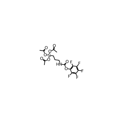 CC(=O)O[Si](CCCNC(=O)Oc1c(F)c(F)c(F)c(F)c1F)(OC(C)=O)OC(C)=O